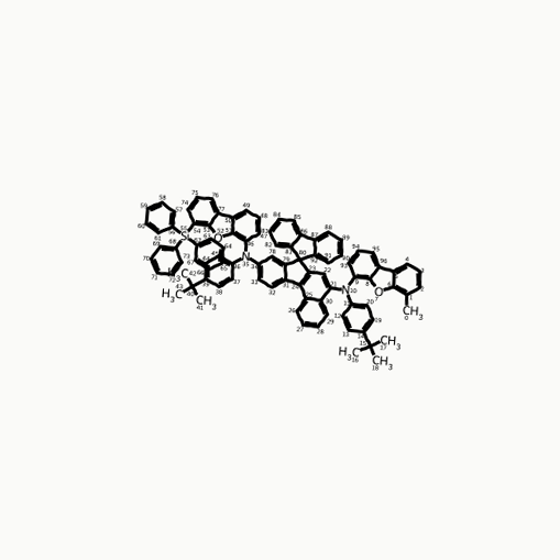 Cc1cccc2c1oc1c(N(c3ccc(C(C)(C)C)cc3)c3cc4c(c5ccccc35)-c3ccc(N(c5ccc(C(C)(C)C)cc5)c5cccc6c5oc5c([Si](c7ccccc7)(c7ccccc7)c7ccccc7)cccc56)cc3C43c4ccccc4-c4ccccc43)cccc12